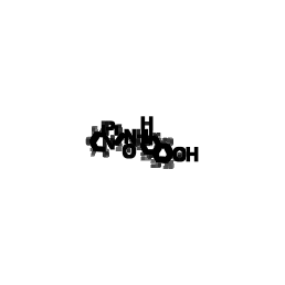 CC(C)C(CN1CC=CCC1)NC(=O)[C@H]1Cc2ccc(O)cc2CN1